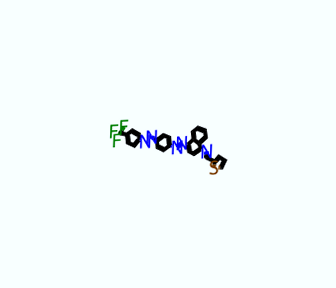 FC(F)(F)c1ccc(/N=N/c2ccc(/N=N/c3ccc(/N=C/c4cccs4)c4ccccc34)cc2)cc1